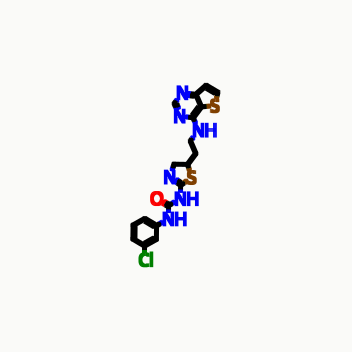 O=C(NC1=NCC(CCNc2ncnc3ccsc23)S1)Nc1cccc(Cl)c1